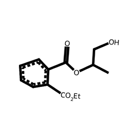 CCOC(=O)c1ccccc1C(=O)OC(C)CO